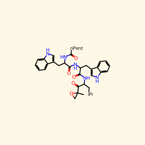 CCCCCC(=O)NC(Cc1c[nH]c2ccccc12)C(=O)NC(Cc1c[nH]c2ccccc12)C(=O)NC(CC(C)C)C(=O)C1(C)CO1